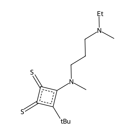 CCN(C)CCCN(C)c1c(C(C)(C)C)c(=S)c1=S